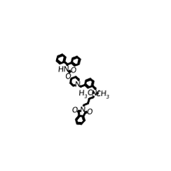 C[N+](C)(CCCCN1C(=O)c2ccccc2C1=O)Cc1cccc(CN2CCC(OC(=O)NC(c3ccccc3)c3ccccc3)CC2)c1